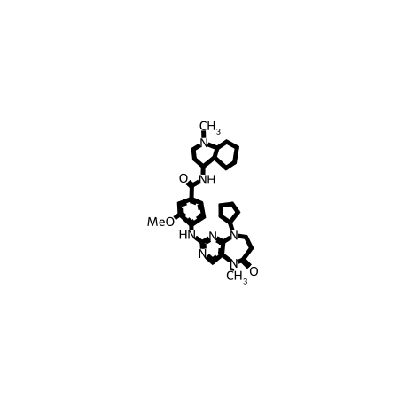 COc1cc(C(=O)NC2CCN(C)C3CCCCC23)ccc1Nc1ncc2c(n1)N(C1CCCC1)CCC(=O)N2C